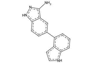 Nc1n[nH]c2ccc(-c3cccc4[nH]ccc34)cc12